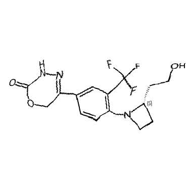 O=C1NN=C(c2ccc(N3CC[C@H]3CCO)c(C(F)(F)F)c2)CO1